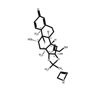 C1=CNC1.CC1(C)O[C@@H]2C[C@H]3[C@@H]4CCC5=CC(=O)C=C[C@]5(C)C4(F)[C@@H](O)C[C@]3(C)[C@]2(C(=O)CO)O1